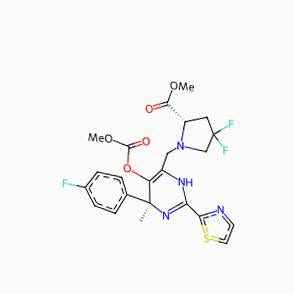 COC(=O)OC1=C(CN2CC(F)(F)C[C@H]2C(=O)OC)NC(c2nccs2)=N[C@@]1(C)c1ccc(F)cc1